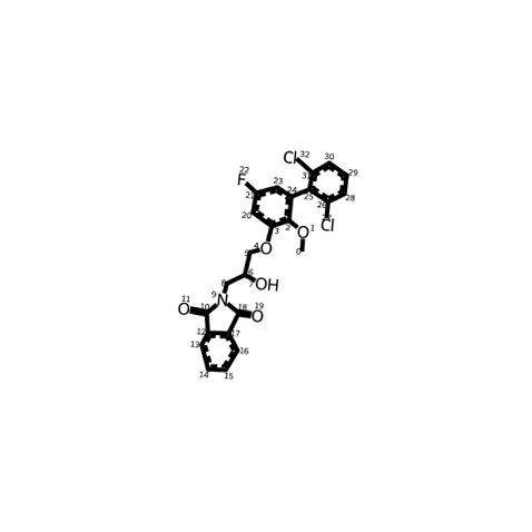 COc1c(OCC(O)CN2C(=O)c3ccccc3C2=O)cc(F)cc1-c1c(Cl)cccc1Cl